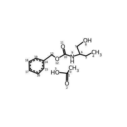 CC(=O)O.CCC(CO)NC(=O)OCc1ccccc1